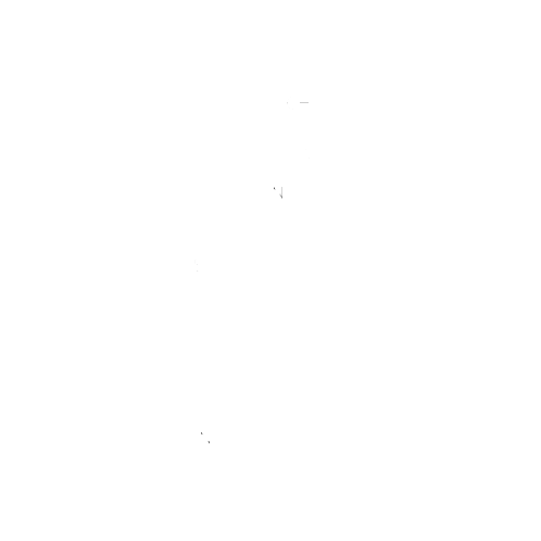 Cc1cccc(-c2cc(C#N)cs2)n1